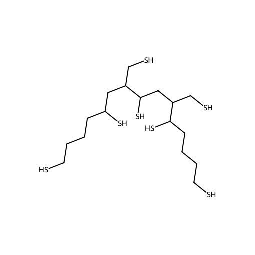 SCCCCC(S)CC(CS)C(S)CC(CS)C(S)CCCCS